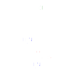 NC(=O)OCC(N)Cc1cccc(Cl)c1